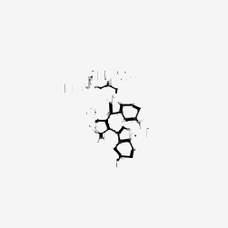 COC(CN(C)C)Cn1cc(C2=C(c3c[nH]c4ccc(Cl)cc34)C(=O)NC2=O)c2cc(Cl)ccc21